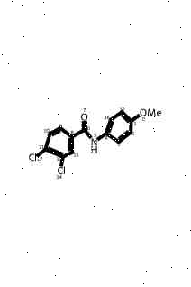 COc1ccc(NC(=O)c2ccc(Cl)c(Cl)c2)cc1